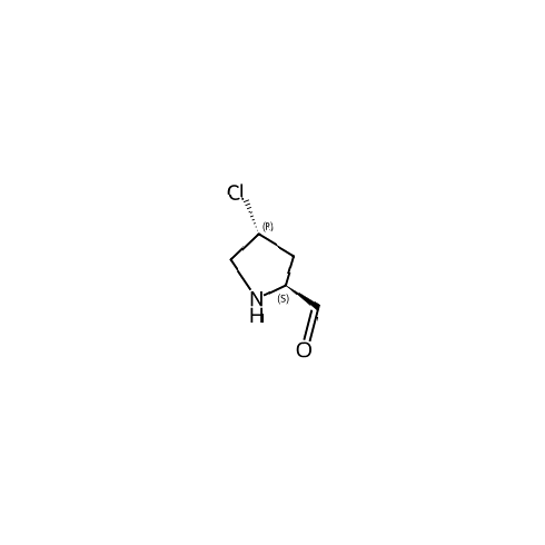 O=C[C@@H]1C[C@@H](Cl)CN1